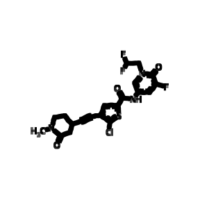 CN1CCC(C#Cc2cc(C(=O)Nc3cc(F)c(=O)n(CC(F)F)c3)sc2Cl)CC1=O